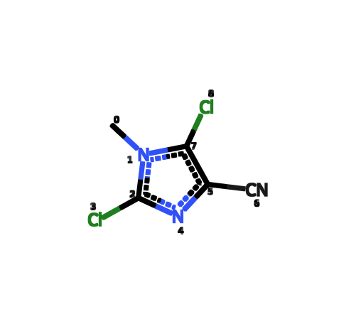 Cn1c(Cl)nc(C#N)c1Cl